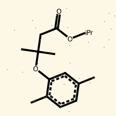 Cc1ccc(C)c(OC(C)(C)CC(=O)OC(C)C)c1